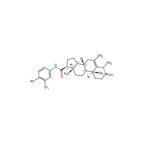 CC1=C2N(C)C(=O)CC[C@]2(C)[C@H]2CC[C@]3(C)[C@@H](C(=O)Nc4ccc(C#N)c(C(F)(F)F)c4)CC[C@H]3[C@@H]2C1